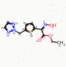 CCOC(=O)/C(=N\O)c1ccc(Cn2nccn2)s1